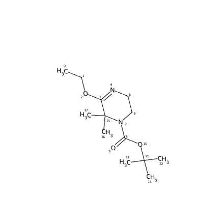 CCOC1=NCCN(C(=O)OC(C)(C)C)C1(C)C